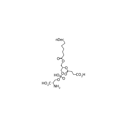 CCCCCCCCCCCCCCCC(=O)OC[C@H](COP(=O)(O)OC[C@H](N)C(=O)O)OC(=O)CCC(=O)O